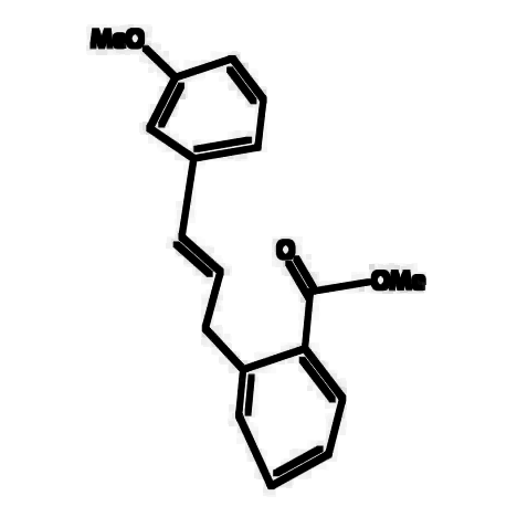 COC(=O)c1ccccc1C/C=C/c1cccc(OC)c1